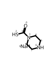 O=C(S)N1CCNCC1.[NaH]